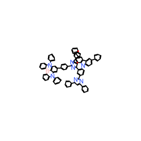 c1ccc(-c2ccc3c(c2)c2cc(-c4ccccc4)ccc2n3-c2ccc(-c3nc(-c4ccccc4)cc(-c4ccccc4)n3)cc2-c2cc(-c3ccccc3)nc(-c3ccc(-c4cc5c6c(c4)N(c4ccccc4)c4ccccc4B6c4ccccc4N5c4ccccc4)cc3)n2)cc1